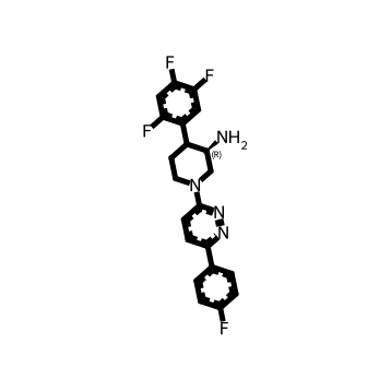 N[C@H]1CN(c2ccc(-c3ccc(F)cc3)nn2)CCC1c1cc(F)c(F)cc1F